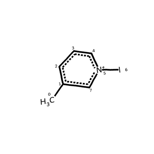 Cc1ccc[n+](I)c1